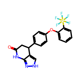 O=C1CC(c2ccc(Oc3ccccc3S(F)(F)(F)(F)F)cc2)c2c[nH]nc2N1